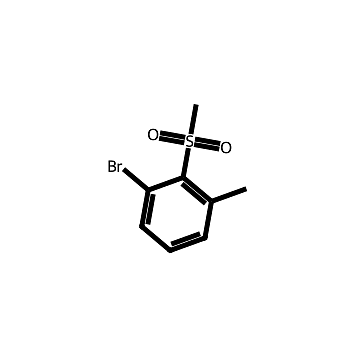 Cc1cccc(Br)c1S(C)(=O)=O